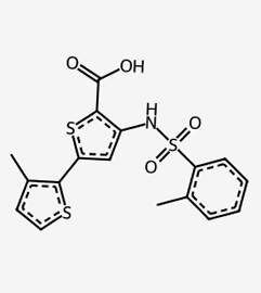 Cc1ccccc1S(=O)(=O)Nc1cc(-c2sccc2C)sc1C(=O)O